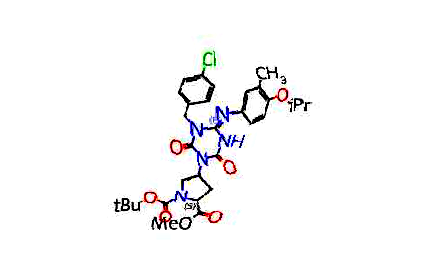 COC(=O)[C@@H]1CC(n2c(=O)[nH]/c(=N\c3ccc(OC(C)C)c(C)c3)n(Cc3ccc(Cl)cc3)c2=O)CN1C(=O)OC(C)(C)C